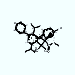 C#CC(C(=O)O)([PH](=O)OC)C(C)(O)c1c(C(C)C)nc(-c2ccccc2)c(C(C)C)c1-c1ccc(F)cc1